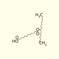 CCCCCCCCC(CCCCCCC)OC(=O)CCCCCCCCCCC(=O)O